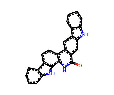 O=c1[nH]c2c(ccc3c4ccccc4[nH]c32)c2cc3c(cc12)[nH]c1ccccc13